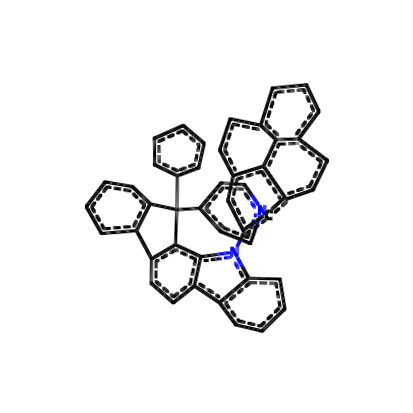 c1ccc(C2(c3ccncc3)c3ccccc3-c3ccc4c5ccccc5n(-c5cc6ccc7cccc8ccc(c5)c6c78)c4c32)cc1